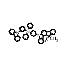 CC1(C)c2ccccc2-c2ccc3c(c21)c1ccccc1n3-c1ccc([Si](c2ccccc2)(c2ccccc2)c2cccc(-n3c4ccccc4c4ccccc43)c2)cc1